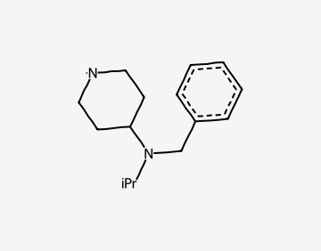 CC(C)N(Cc1ccccc1)C1CC[N]CC1